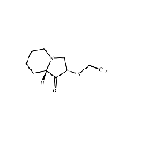 CCS[C@H]1CN2CCCC[C@H]2C1=O